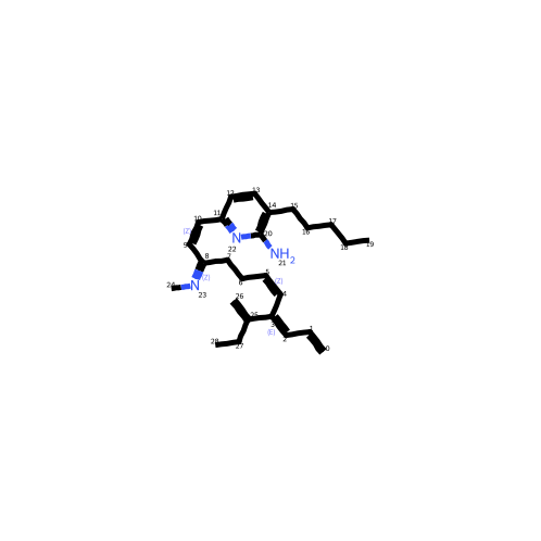 C=C/C=C(\C=C/CCC(/C=C\c1ccc(CCCCC)c(N)n1)=N/C)C(=C)CC